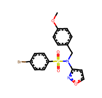 COc1ccc(CN(c2ccon2)S(=O)(=O)c2ccc(Br)cc2)cc1